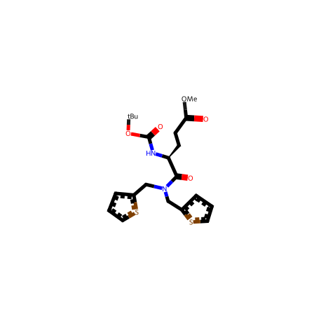 COC(=O)CC[C@H](NC(=O)OC(C)(C)C)C(=O)N(Cc1cccs1)Cc1cccs1